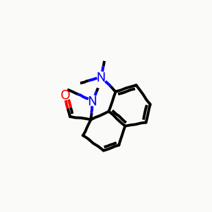 CN(C)c1cccc2c1C(C=O)(N(C)C)CC=C2